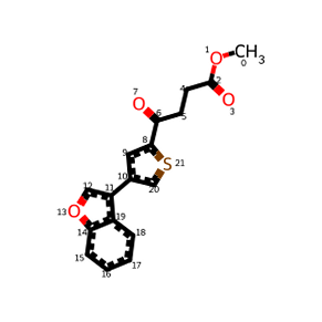 COC(=O)CCC(=O)c1cc(-c2coc3ccccc23)cs1